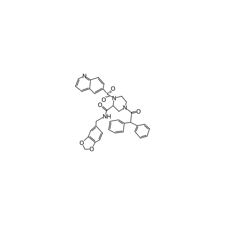 O=C(NCc1ccc2c(c1)OCO2)C1CN(C(=O)C(c2ccccc2)c2ccccc2)CCN1S(=O)(=O)c1ccc2ncccc2c1